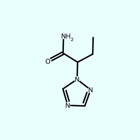 CCC(C(N)=O)n1cncn1